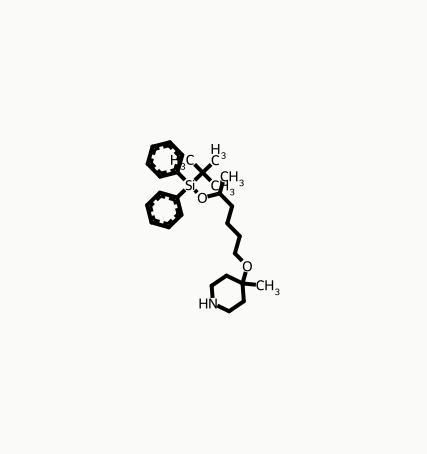 CC(CCCCOC1(C)CCNCC1)O[Si](c1ccccc1)(c1ccccc1)C(C)(C)C